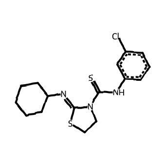 S=C(Nc1cccc(Cl)c1)N1CCSC1=NC1CCCCC1